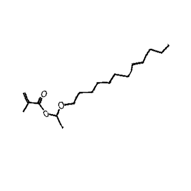 C=C(C)C(=O)OC(C)OCCCCCCCCCCCC